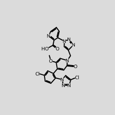 COc1cn(Cc2cn(-c3cccnc3C(=O)O)nn2)c(=O)cc1-c1cc(Cl)ccc1-n1cc(Cl)nn1